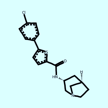 O=C(N[C@@H]1C[C@H]2CCN(C2)C1)c1ccc(-c2ccc(Cl)cc2)s1